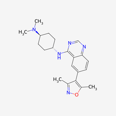 Cc1noc(C)c1-c1ccc2ncnc(N[C@H]3CC[C@H](N(C)C)CC3)c2c1